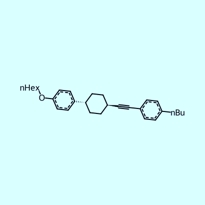 CCCCCCOc1ccc([C@H]2CC[C@H](C#Cc3ccc(CCCC)cc3)CC2)cc1